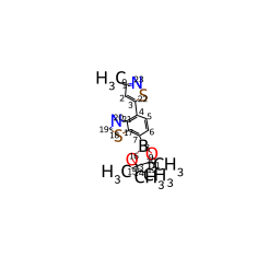 Cc1cc(-c2ccc(B3OC(C)(C)C(C)(C)O3)c3scnc23)sn1